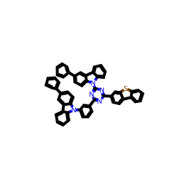 c1ccc(-c2ccc3c(c2)c2ccccc2n3-c2cccc(-c3nc(-c4ccc5c(c4)sc4ccccc45)nc(-n4c5ccccc5c5cc(-c6ccccc6)ccc54)n3)c2)cc1